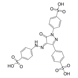 O=C1/C(=N\Nc2ccc(S(=O)(=O)O)cc2)C(c2ccc(S(=O)(=O)O)cc2)=NN1c1ccc(S(=O)(=O)O)cc1